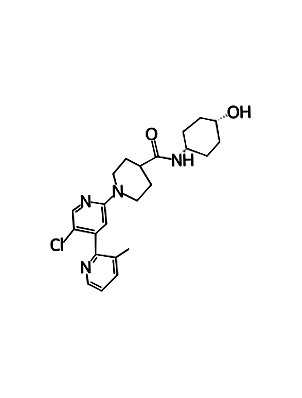 Cc1cccnc1-c1cc(N2CCC(C(=O)N[C@H]3CC[C@@H](O)CC3)CC2)ncc1Cl